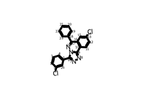 Clc1cccc(-c2nnc3c4ccc(Cl)cc4c(-c4ccccc4)nn23)c1